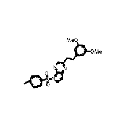 COc1cc(CCc2cnc3c(ccn3S(=O)(=O)c3ccc(C)cc3)n2)cc(OC)c1